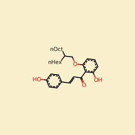 CCCCCCCCC(CCCCCC)COc1cccc(O)c1C(=O)/C=C/c1ccc(O)cc1